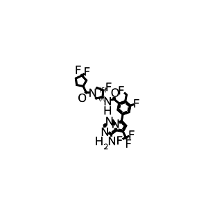 Nc1ncnn2c(-c3cc(F)c(CF)c(C(=O)N[C@@H]4CN(C(=O)C5CCC(F)(F)C5)C[C@@H]4F)c3)cc(C(F)(F)F)c12